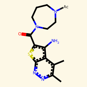 CC(=O)N1CCCN(C(=O)c2sc3nnc(C)c(C)c3c2N)CC1